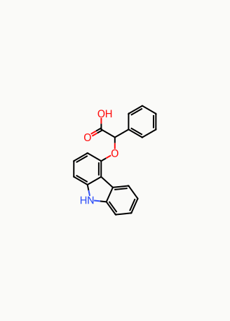 O=C(O)C(Oc1cccc2[nH]c3ccccc3c12)c1ccccc1